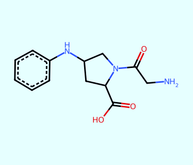 NCC(=O)N1CC(Nc2ccccc2)CC1C(=O)O